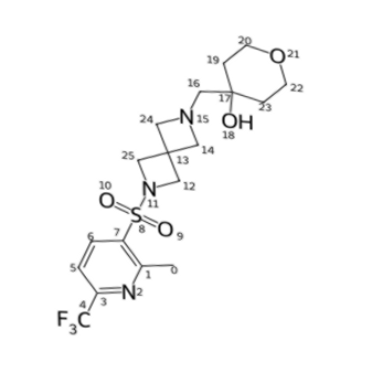 Cc1nc(C(F)(F)F)ccc1S(=O)(=O)N1CC2(CN(CC3(O)CCOCC3)C2)C1